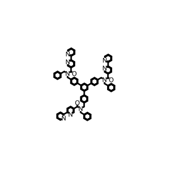 O=C(c1ccc(-c2ccccn2)nc1)N(Cc1ccccc1)Cc1ccc(-c2cc(-c3ccc(CN(Cc4ccccc4)C(=O)c4ccc(-c5ccccn5)nc4)cc3)cc(-c3ccc(CN(Cc4ccccc4)C(=O)c4ccc(-c5ccccn5)nc4)cc3)c2)cc1